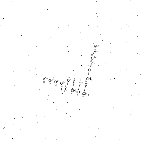 C[O-].C[O-].C[O-].C[O-].C[O-].[O-2].[O-2].[O-2].[O-2].[O-2].[V+5].[V+5].[V+5]